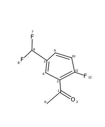 CC(=O)c1cc(C(F)F)ccc1F